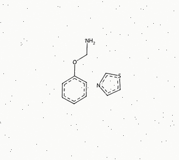 NCOc1ccccc1.c1cscn1